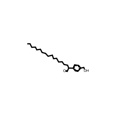 CCCCCCCCCCCCCCCCC(C=O)c1ccc(CO)cc1